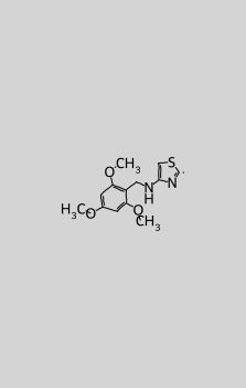 COc1cc(OC)c(CNc2cs[c]n2)c(OC)c1